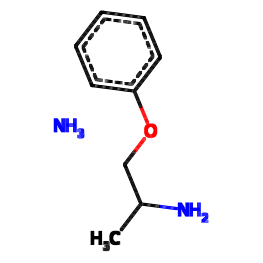 CC(N)COc1ccccc1.N